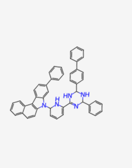 C1=CC(n2c3cc(-c4ccccc4)ccc3c3c4ccccc4ccc32)NC(C2=NC(c3ccccc3)NC(c3ccc(-c4ccccc4)cc3)N2)=C1